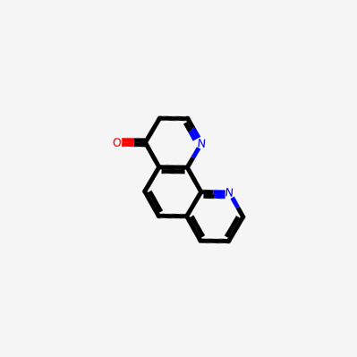 O=C1CC=Nc2c1ccc1cccnc21